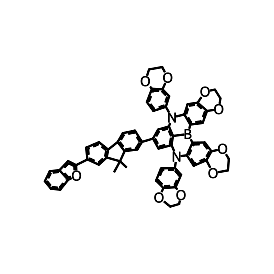 CC1(C)c2cc(-c3cc4c5c(c3)N(c3ccc6c(c3)OCCO6)c3cc6c(cc3B5c3cc5c(cc3N4c3ccc4c(c3)OCCO4)OCCO5)OCCO6)ccc2-c2ccc(-c3cc4ccccc4o3)cc21